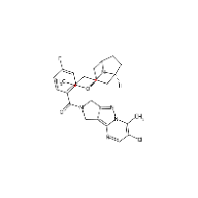 CCCCN1C2CC[C@H]1C[C@@H](Oc1cc(F)ccc1C(=O)N1Cc3nn4c(C)c(Cl)cnc4c3C1)C2